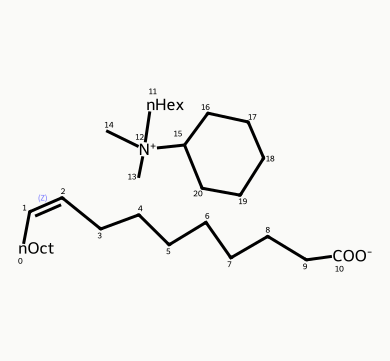 CCCCCCCC/C=C\CCCCCCCC(=O)[O-].CCCCCC[N+](C)(C)C1CCCCC1